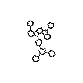 c1ccc(-c2cc(-c3ccccc3)nc(-c3ccc(-n4c5cccc(-c6ccccc6)c5c5ccc6c(c7ccccc7n6-c6ccccc6)c54)cc3)n2)cc1